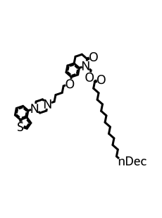 CCCCCCCCCCCCCCCCCCCCCCCC(=O)OCN1C(=O)CCc2ccc(OCCCCN3CCN(c4cccc5sccc45)CC3)cc21